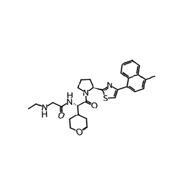 CCNCC(=O)N[C@H](C(=O)N1CCC[C@H]1c1nc(-c2ccc(C)c3ccccc23)cs1)C1CCOCC1